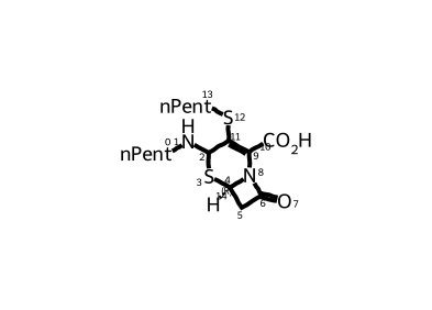 CCCCCNC1S[C@@H]2CC(=O)N2C(C(=O)O)=C1SCCCCC